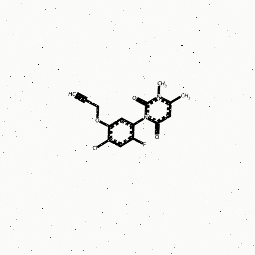 C#CCOc1cc(-n2c(=O)cc(C)n(C)c2=O)c(F)cc1Cl